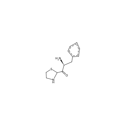 N[C@@H](Cc1ccccc1)C(=O)C1NCCS1